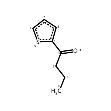 CCCC(=O)c1cccs1